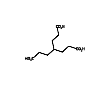 O=C(O)CCC(CCC(=O)O)CCC(=O)O